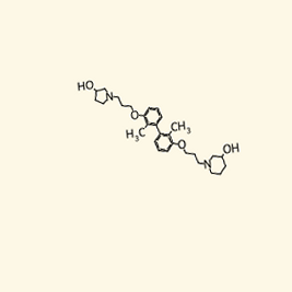 Cc1c(OCCCN2CC[C@@H](O)C2)cccc1-c1cccc(OCCCN2CCC[C@H](O)C2)c1C